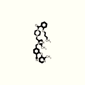 CCCCOc1ccccc1C(=O)N1CCN(Cc2cnc(C)n2Cc2ccc(C#N)c(Oc3cccnc3C)c2)CC1